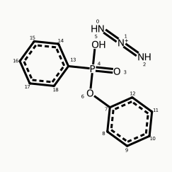 N=[N+]=N.O=P(O)(Oc1ccccc1)c1ccccc1